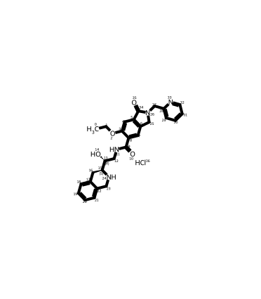 CCOc1cc2c(cc1C(=O)NC[C@@H](O)[C@@H]1Cc3ccccc3CN1)CN(Cc1ccccn1)C2=O.Cl